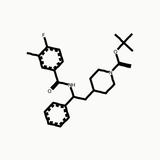 C=C(OC(C)(C)C)N1CCC(CC(NC(=O)c2ccc(F)c(C)c2)c2ccccc2)CC1